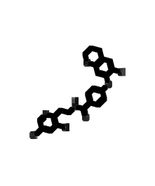 O=C(NCCc1ncc(Cl)cc1Cl)c1ccc(Oc2cc3c(cc2Cl)CCCO3)cc1